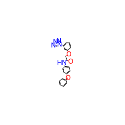 O=C(COc1cccc(-n2cnnn2)c1)Nc1ccc(Oc2ccccc2)cc1